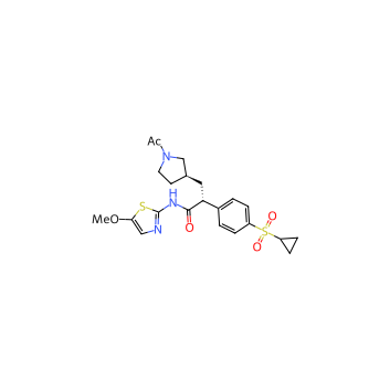 COc1cnc(NC(=O)[C@H](C[C@H]2CCN(C(C)=O)C2)c2ccc(S(=O)(=O)C3CC3)cc2)s1